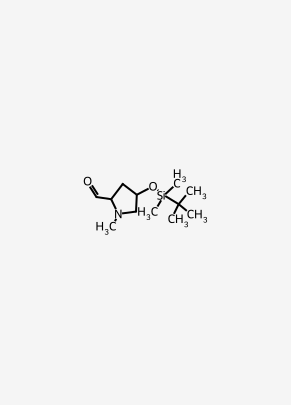 CN1CC(O[Si](C)(C)C(C)(C)C)CC1C=O